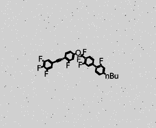 CCCCc1ccc(-c2ccc(C(F)(F)Oc3ccc(C#Cc4cc(F)c(F)c(F)c4)c(F)c3)c(F)c2)c(F)c1